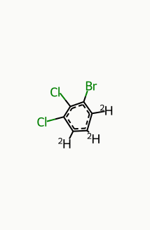 [2H]c1c([2H])c(Cl)c(Cl)c(Br)c1[2H]